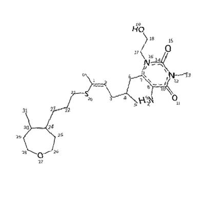 C/C(=C/CC(C)Cc1c(N)c(=O)n(C)c(=O)n1CCO)SCCCC1CCOCCC1C